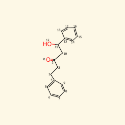 O=C(CCc1ccccc1)CC(O)c1ccccc1